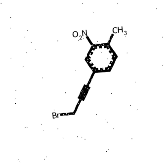 Cc1ccc(C#CCBr)cc1[N+](=O)[O-]